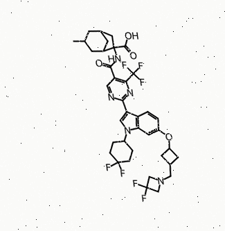 CC1CC2CC(C1)C(NC(=O)c1cnc(-c3cn(C4CCC(F)(F)CC4)c4cc(OC5CC(CN6CC(F)(F)C6)C5)ccc34)nc1C(F)(F)F)(C(=O)O)C2